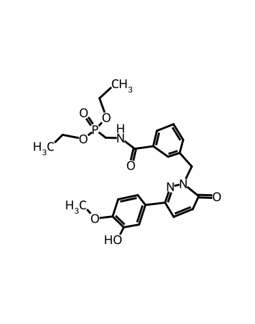 CCOP(=O)(CNC(=O)c1cccc(Cn2nc(-c3ccc(OC)c(O)c3)ccc2=O)c1)OCC